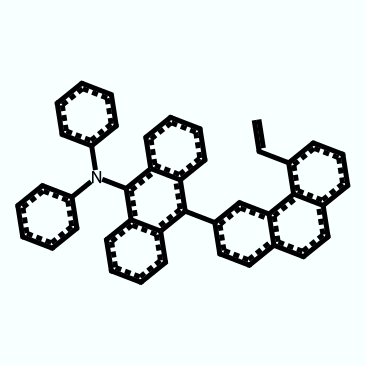 C=Cc1cccc2ccc3ccc(-c4c5ccccc5c(N(c5ccccc5)c5ccccc5)c5ccccc45)cc3c12